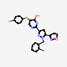 Oc1nc(-c2cc(-c3ccon3)n(Cc3ccccc3F)n2)ncc1Sc1ccc(F)cc1